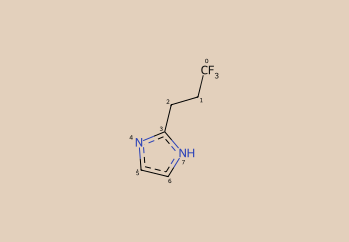 FC(F)(F)CCc1n[c]c[nH]1